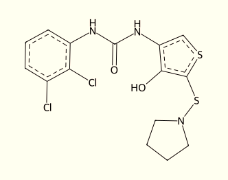 O=C(Nc1csc(SN2CCCC2)c1O)Nc1cccc(Cl)c1Cl